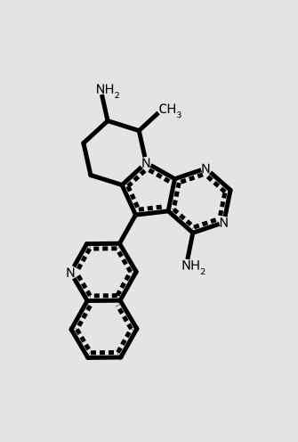 CC1C(N)CCc2c(-c3cnc4ccccc4c3)c3c(N)ncnc3n21